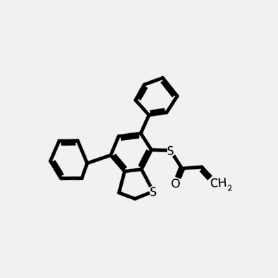 C=CC(=O)Sc1c(-c2ccccc2)cc(C2C=CC=CC2)c2c1SCC2